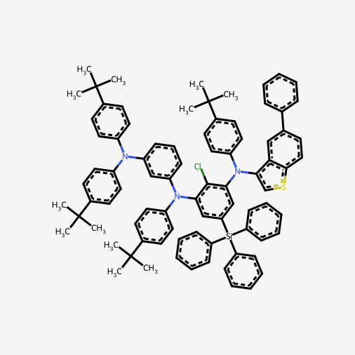 CC(C)(C)c1ccc(N(c2ccc(C(C)(C)C)cc2)c2cccc(N(c3ccc(C(C)(C)C)cc3)c3cc([Si](c4ccccc4)(c4ccccc4)c4ccccc4)cc(N(c4ccc(C(C)(C)C)cc4)c4csc5ccc(-c6ccccc6)cc45)c3Cl)c2)cc1